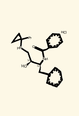 CC(C)C1(NC[C@H](O)[C@H](Cc2ccccc2)NC(=O)c2ccccc2)CC1.Cl